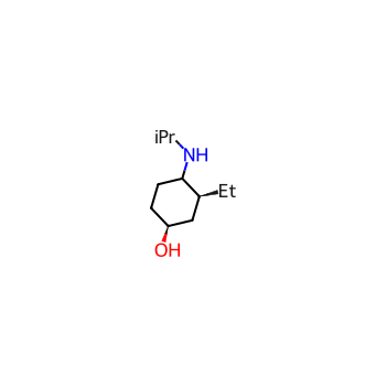 CC[C@H]1C[C@@H](O)CCC1NC(C)C